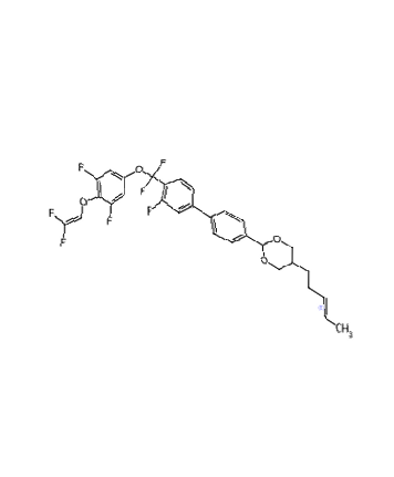 C/C=C/CCC1COC(c2ccc(-c3ccc(C(F)(F)Oc4cc(F)c(OC=C(F)F)c(F)c4)c(F)c3)cc2)OC1